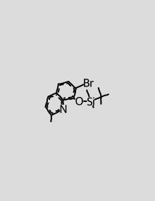 Cc1ccc2ccc(Br)c(O[Si](C)(C)C(C)(C)C)c2n1